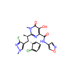 C[C@@H](c1nc(C(=O)Nc2cnoc2)c(O)c(=O)n1C)[C@H](c1ccccc1Cl)c1cn(C)nc1F